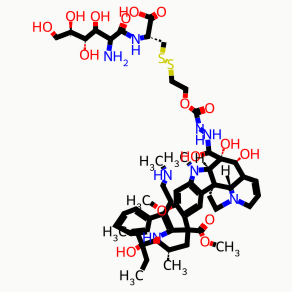 CCC(O)(CC)C[C@@H](C)CC(C(=O)OC)(c1cc2c(cc1OC)N(C)[C@@H]1[C@]23CCN2CC=CC([C@H]23)[C@@H](O)[C@]1(O)C(O)NNC(=O)OCCSSC[C@H](NC(=O)C(N)C(O)[C@H](O)[C@H](O)CO)C(=O)O)c1[nH]c2ccccc2c1CCNC